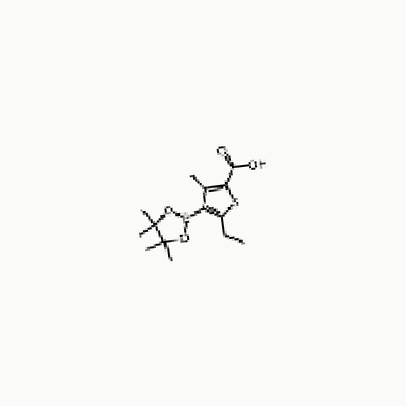 CCc1sc(C(=O)O)c(C)c1B1OC(C)(C)C(C)(C)O1